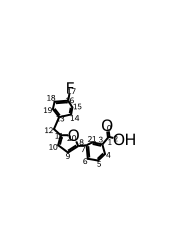 O=C(O)c1cccc(-c2ccc(Cc3ccc(F)cc3)o2)c1